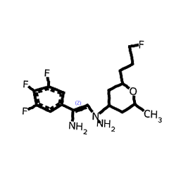 CC1CC(N(N)/C=C(\N)c2cc(F)c(F)c(F)c2)CC(CCCF)O1